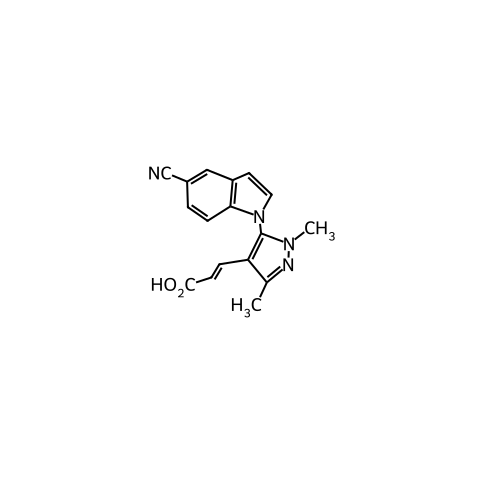 Cc1nn(C)c(-n2ccc3cc(C#N)ccc32)c1/C=C/C(=O)O